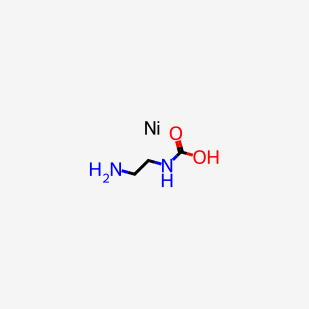 NCCNC(=O)O.[Ni]